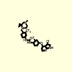 CN1CCN(Cc2ccc(NC(=O)Nc3ccc(Oc4ccnc5[nH]cc(Cl)c45)cc3F)cc2C(F)(F)F)C2(CC2)C1